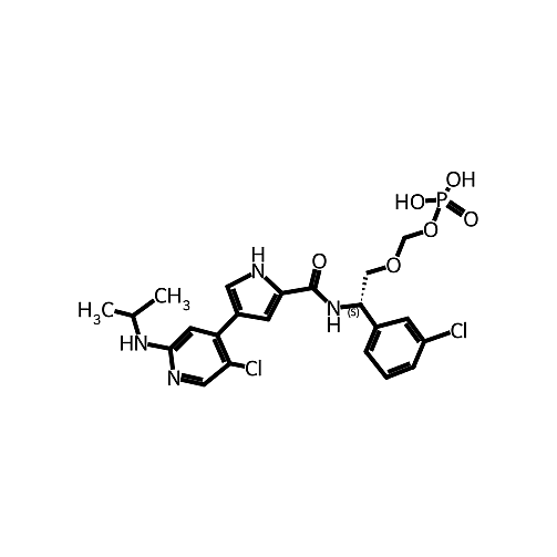 CC(C)Nc1cc(-c2c[nH]c(C(=O)N[C@H](COCOP(=O)(O)O)c3cccc(Cl)c3)c2)c(Cl)cn1